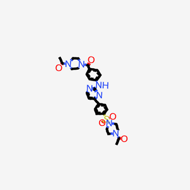 CC(=O)N1CCN(C(=O)c2ccc(Nc3nccc(-c4ccc(S(=O)(=O)N5CCN(C(C)=O)CC5)cc4)n3)cc2)CC1